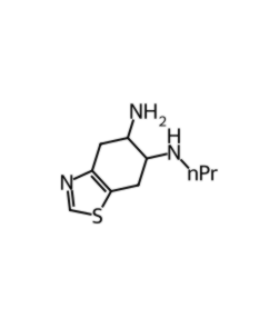 CCCNC1Cc2scnc2CC1N